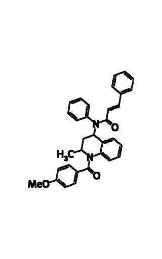 COc1ccc(C(=O)N2c3ccccc3C(N(C(=O)/C=C/c3ccccc3)c3ccccc3)CC2C)cc1